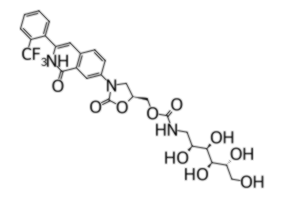 O=C(NC[C@H](O)[C@@H](O)[C@H](O)[C@H](O)CO)OC[C@@H]1CN(c2ccc3cc(-c4ccccc4C(F)(F)F)[nH]c(=O)c3c2)C(=O)O1